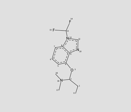 CCC(Oc1cccc2c1n[c]n2C(F)F)N(C)C